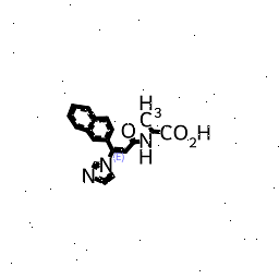 CC(NC(=O)/C=C(\c1ccc2ccccc2c1)n1ccnc1)C(=O)O